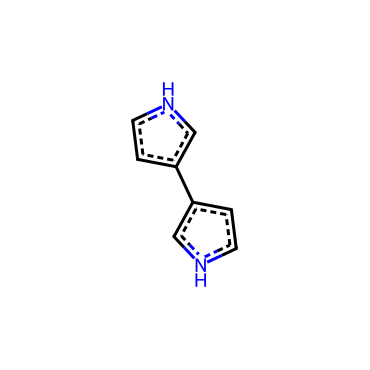 c1cc(-c2cc[nH]c2)c[nH]1